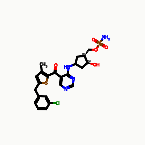 Cc1cc(Cc2cccc(Cl)c2)sc1C(=O)c1cncnc1NC1C[C@H](COS(N)(=O)=O)[C@@H](O)C1